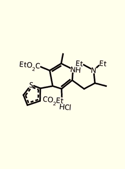 CCOC(=O)C1=C(C)NC(CC(C)N(CC)CC)=C(C(=O)OCC)C1c1cccs1.Cl